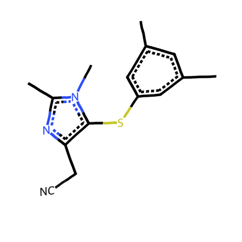 Cc1cc(C)cc(Sc2c(CC#N)nc(C)n2C)c1